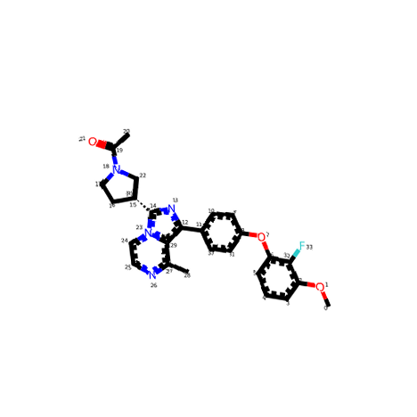 COc1cccc(Oc2ccc(-c3nc([C@@H]4CCN(C(C)=O)C4)n4ccnc(C)c34)cc2)c1F